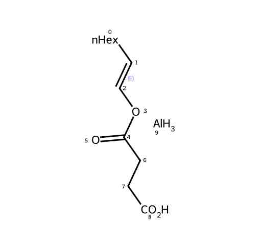 CCCCCC/C=C/OC(=O)CCC(=O)O.[AlH3]